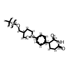 CC(C)(C)[Si](C)(C)OCC1CCN(c2ccc(C3CCC(=O)NC3=O)cc2)CC1